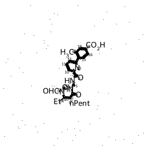 CCCCC[C@@H](C(=O)NCNC(=O)c1cccc(-c2ccc(C(=O)O)cc2C)n1)[C@@H](CC)N(O)C=O